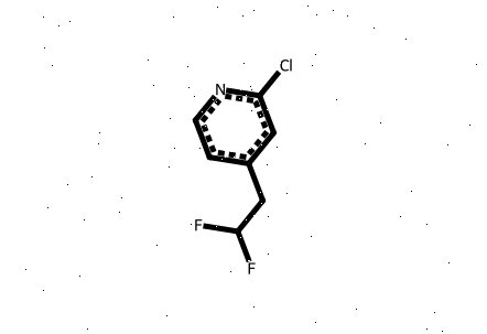 FC(F)Cc1ccnc(Cl)c1